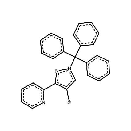 Brc1cn(C(c2ccccc2)(c2ccccc2)c2ccccc2)nc1-c1ccccn1